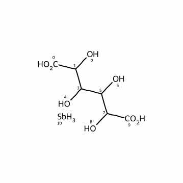 O=C(O)C(O)C(O)C(O)C(O)C(=O)O.[SbH3]